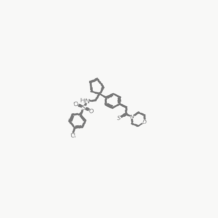 O=S(=O)(NCC1(c2ccc(CC(=S)N3CCOCC3)cc2)CCCC1)c1ccc(Cl)cc1